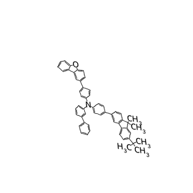 CC(C)(C)c1ccc2c(c1)C(C)(C)c1ccc(-c3ccc(N(c4ccc(-c5ccc6oc7ccccc7c6c5)cc4)c4cccc(-c5ccccc5)c4)cc3)cc1-2